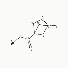 CC12CC(C(=O)CBr)(CO1)C2